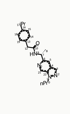 CCCn1ncc2cc([C@@H](C)NC(=O)Cc3ccc(C(C)C)cc3)ncc21